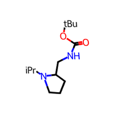 CC(C)N1CCCC1CNC(=O)OC(C)(C)C